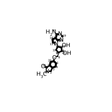 CN1Cc2ccc(OC[C@H]3C[C@@H](n4ccc5c(N)ncnc54)[C@H](O)[C@@H]3O)cc2C1=O